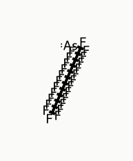 FC(F)(F)C(F)(F)C(F)(F)C(F)(F)C(F)(F)C(F)(F)C(F)(F)C(F)(F)C(F)(F)C(F)(F)C(F)(F)C(F)(F)[As]